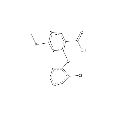 CSc1ncc(C(=O)O)c(Oc2ccccc2Cl)n1